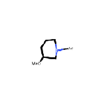 COC1CCCN(C(C)=O)C1